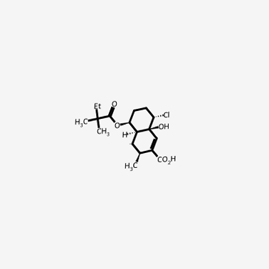 CCC(C)(C)C(=O)O[C@H]1CC[C@H](Cl)[C@]2(O)C=C(C(=O)O)[C@@H](C)[CH][C@@H]12